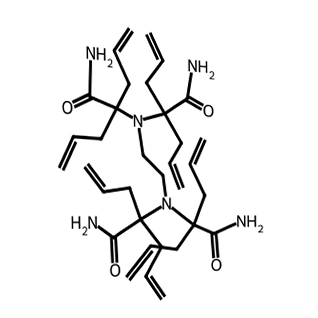 C=CCC(CC=C)(C(N)=O)N(CCN(C(CC=C)(CC=C)C(N)=O)C(CC=C)(CC=C)C(N)=O)C(CC=C)(CC=C)C(N)=O